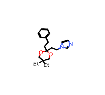 CCC1(CC)COC(CCc2ccccc2)(CCn2ccnc2)OC1